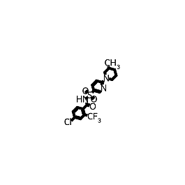 CC1CCCN(c2ccc(S(=O)(=O)NC(=O)c3ccc(Cl)cc3C(F)(F)F)cn2)C1